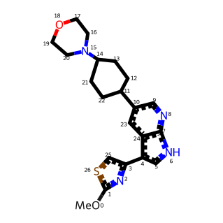 COc1nc(-c2c[nH]c3ncc(C4CCC(N5CCOCC5)CC4)cc23)cs1